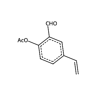 C=Cc1ccc(OC(C)=O)c(C=O)c1